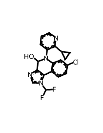 OC1c2ncn(C(F)F)c2-c2ccc(Cl)cc2N1c1cccnc1C1CC1